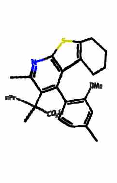 CCCC(C)(C(=O)O)c1c(C)nc2sc3c(c2c1-c1ccc(C)cc1OC)CCCC3